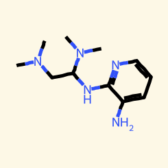 CN(C)CC(Nc1ncccc1N)N(C)C